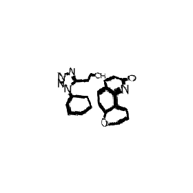 C=CCc1nnnn1C1CCCCC1.O=c1ccc2ccc3occcc3c2n1